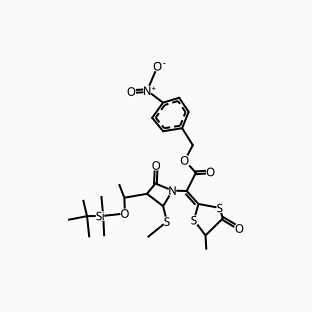 CSC1C(C(C)O[Si](C)(C)C(C)(C)C)C(=O)N1C(C(=O)OCc1ccc([N+](=O)[O-])cc1)=C1SC(=O)C(C)S1